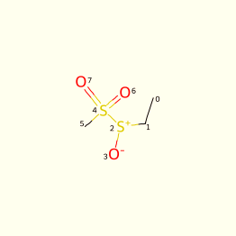 CC[S+]([O-])S(C)(=O)=O